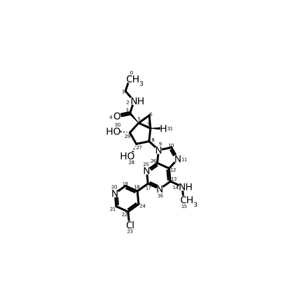 CCNC(=O)[C@@]12C[C@@H]1C(n1cnc3c(NC)nc(-c4cncc(Cl)c4)nc31)[C@H](O)[C@@H]2O